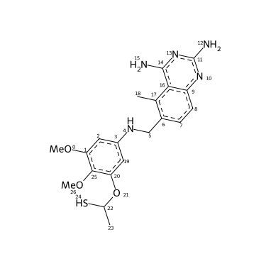 COc1cc(NCc2ccc3nc(N)nc(N)c3c2C)cc(OC(C)S)c1OC